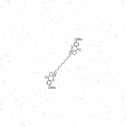 COc1ccc2c(c1)N=C[C@@H]1C(OCCCCCCCCCCOC3CCN4C(=O)c5ccc(OC)cc5N=C[C@H]34)CCN1C2=O